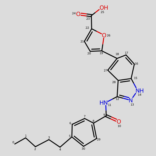 CCCCCc1ccc(C(=O)Nc2n[nH]c3ccc(-c4ccc(C(=O)O)o4)cc23)cc1